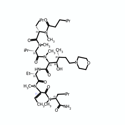 C/C=C(\C(=O)N(C)[C@@H](CC(C)C)C(N)=O)N(C)C(=O)[C@H](CC)NC(=O)[C@H]([C@H](O)[C@H](C)CCN1CCOCC1)N(C)C(=O)[C@H](C(C)C)N(C)C(=O)[C@H](CC(C)C)N(C)C(=O)CCC(C)C